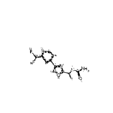 CC(OC(N)=O)c1nc(-c2ccnc(C(F)F)c2)no1